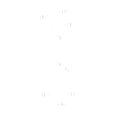 CC(C)(C)OC(=O)n1ccc(/C=N/[S+]([O-])C(C)(C)C)n1